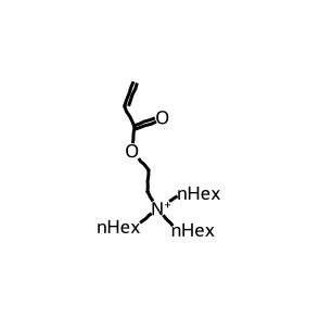 C=CC(=O)OCC[N+](CCCCCC)(CCCCCC)CCCCCC